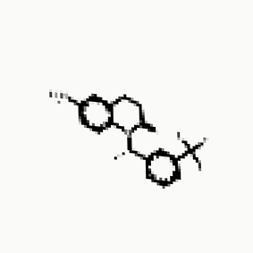 C[C@@H](c1cccc(C(F)(F)F)c1)N1C(=O)CCc2cc(N)ccc21